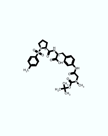 Cc1ccc(S(=O)(=O)N2CCC[C@H]2C(=O)N[C@@H](Cc2ccc(NC(=O)CN(C)C(=O)OC(C)(C)C)cc2)C(=O)O)cc1